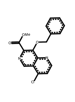 COC(=O)c1ncc2c(Cl)ccnc2c1OCc1ccccc1